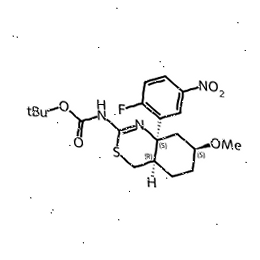 CO[C@H]1CC[C@H]2CSC(NC(=O)OC(C)(C)C)=N[C@@]2(c2cc([N+](=O)[O-])ccc2F)C1